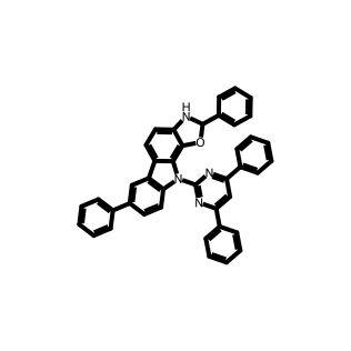 c1ccc(-c2ccc3c(c2)c2ccc4c(c2n3-c2nc(-c3ccccc3)cc(-c3ccccc3)n2)OC(c2ccccc2)N4)cc1